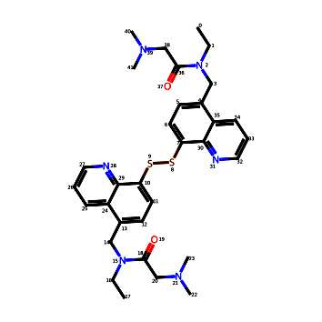 CCN(Cc1ccc(SSc2ccc(CN(CC)C(=O)CN(C)C)c3cccnc23)c2ncccc12)C(=O)CN(C)C